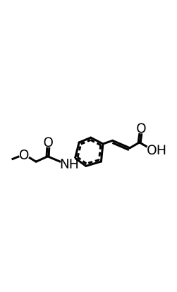 COCC(=O)Nc1ccc(C=CC(=O)O)cc1